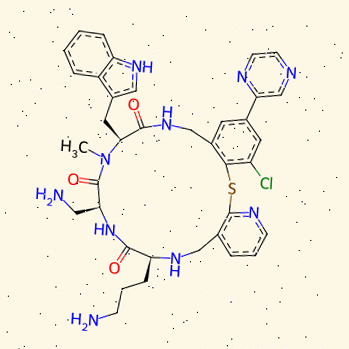 CN1C(=O)[C@H](CN)NC(=O)[C@H](CCCN)NCc2cccnc2Sc2c(Cl)cc(-c3cnccn3)cc2CNC(=O)[C@@H]1Cc1c[nH]c2ccccc12